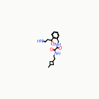 CC1CC(CCNC(=O)C(=O)NCc2ccccc2C(=O)CC=N)C1